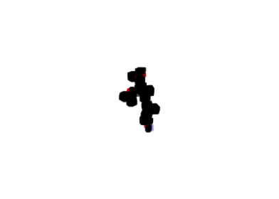 C=c1/c(=C\C=C/C)oc2ccc(-n3c4ccccc4c4cc(-c5ccc6c(c5)c5ccccc5n6-c5nc(-c6ccc7c8ccccc8c8ccccc8c7c6)cc(-c6ccc7c8ccccc8c8ccccc8c7c6)n5)ccc43)cc12